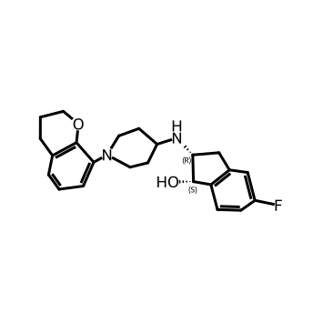 O[C@H]1c2ccc(F)cc2C[C@H]1NC1CCN(c2cccc3c2OCCC3)CC1